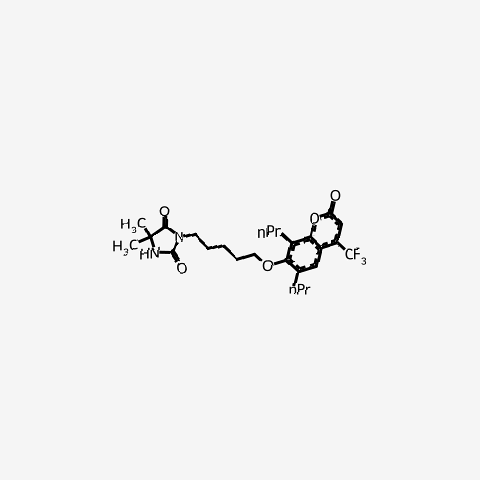 CCCc1cc2c(C(F)(F)F)cc(=O)oc2c(CCC)c1OCCCCCN1C(=O)NC(C)(C)C1=O